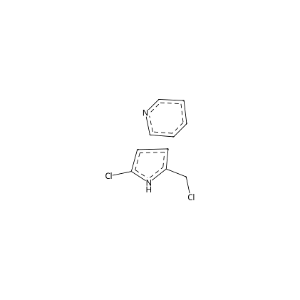 ClCc1ccc(Cl)[nH]1.c1ccncc1